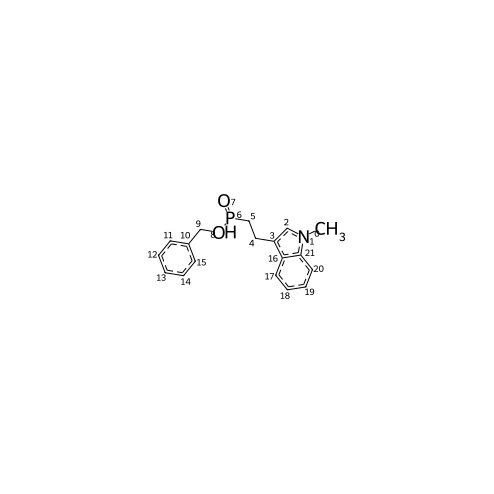 Cn1cc(CC[PH](=O)OCc2ccccc2)c2ccccc21